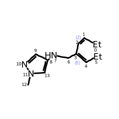 CC/C=C\C(=C/CC)CNc1cnn(C)c1